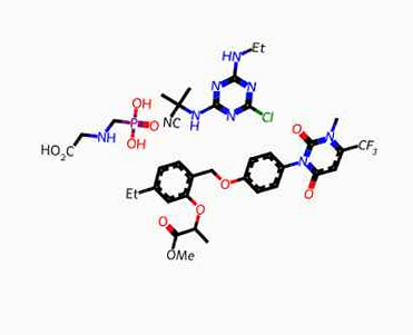 CCNc1nc(Cl)nc(NC(C)(C)C#N)n1.CCc1ccc(COc2ccc(-n3c(=O)cc(C(F)(F)F)n(C)c3=O)cc2)c(OC(C)C(=O)OC)c1.O=C(O)CNCP(=O)(O)O